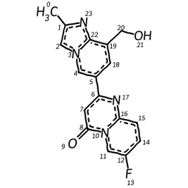 Cc1cn2cc(-c3cc(=O)n4cc(F)ccc4n3)cc(CO)c2n1